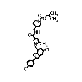 Cc1cc(C(=O)NCC2CCN(C(=O)OCC(C)C)CC2)nn1Cc1cc(Cl)cc2cc(-c3ccc(Cl)cc3)oc12